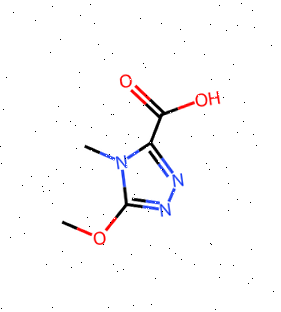 COc1nnc(C(=O)O)n1C